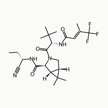 CC[C@@H](C#N)NC(=O)[C@@H]1[C@@H]2[C@H](CN1C(=O)[C@@H](NC(=O)/C=C(\C)C(F)(F)F)C(C)(C)C)C2(C)C